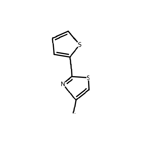 [CH2]c1csc(-c2cccs2)n1